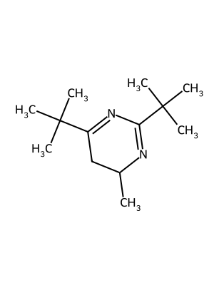 CC1CC(C(C)(C)C)=NC(C(C)(C)C)=N1